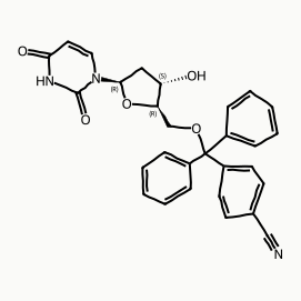 N#Cc1ccc(C(OC[C@H]2O[C@@H](n3ccc(=O)[nH]c3=O)C[C@@H]2O)(c2ccccc2)c2ccccc2)cc1